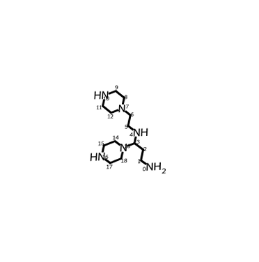 NCCC(NCCN1CCNCC1)N1CCNCC1